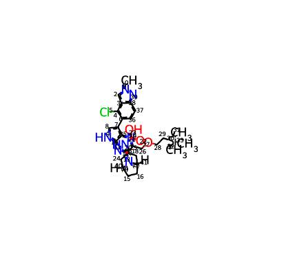 Cn1cc2c(Cl)c(-c3c[nH]c4nc(N5[C@@H]6CC[C@H]5C[C@@H](NC(=O)O)C6)c(COCC[Si](C)(C)C)nc34)ccc2n1